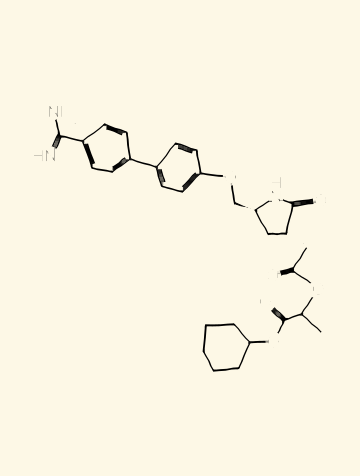 CC(OC(=O)C[C@@H]1C[C@@H](COc2ccc(-c3ccc(C(=N)N)cc3)cc2)NC1=O)C(=O)OC1CCCCC1